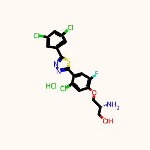 Cl.N[C@H](CO)COc1cc(Cl)c(-c2nnc(-c3cc(Cl)cc(Cl)c3)s2)cc1F